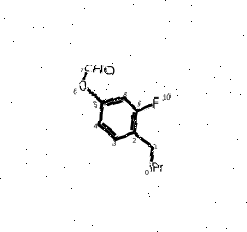 CC(C)Cc1ccc(OC=O)cc1F